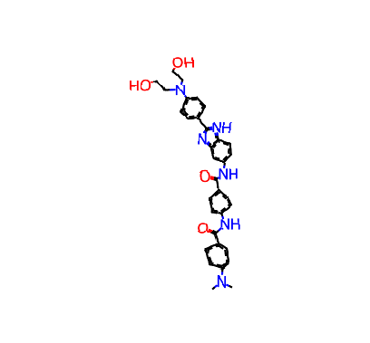 CN(C)c1ccc(C(=O)Nc2ccc(C(=O)Nc3ccc4[nH]c(-c5ccc(N(CCO)CCO)cc5)nc4c3)cc2)cc1